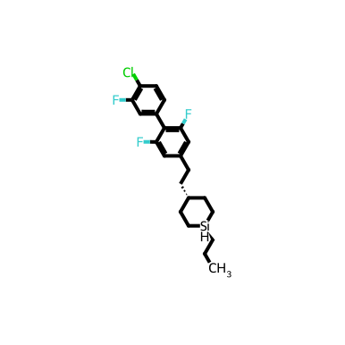 CCC[Si@H]1CC[C@H](CCc2cc(F)c(-c3ccc(Cl)c(F)c3)c(F)c2)CC1